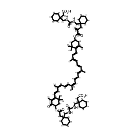 CC(C=CC=C(C)C=CC1=C(C)CC(OC(=O)C(=O)CC2(CNC(=O)NCC3(CC(=O)O)CCCCC3)CCCCC2)CC1(C)C)=CC=CC=C(C)C=CC=C(C)C=CC1=C(C)C(=O)C(OC(=O)CC2(CNC(=O)NCC3(CC(=O)O)CCCCC3)CCCCC2)CC1(C)C